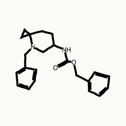 O=C(NC1CCC2(CC2)N(Cc2ccccc2)C1)OCc1ccccc1